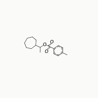 Cc1ccc(S(=O)(=O)OC(C)C2CCCCCC2)cc1